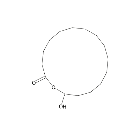 O=C1CCCCCCCCCCCCCC(O)O1